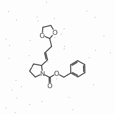 O=C(OCc1ccccc1)N1CCCC1C=CCC1OCCO1